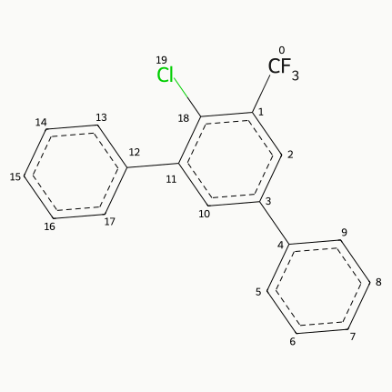 FC(F)(F)c1cc(-c2ccccc2)cc(-c2ccccc2)c1Cl